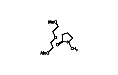 CN1CCCC1=O.COCCOCCOC